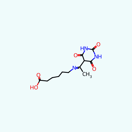 C/C(=N\CCCCCC(=O)O)C1C(=O)NC(=O)NC1=O